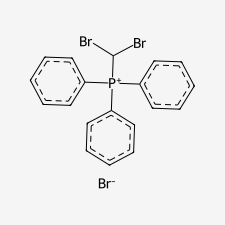 BrC(Br)[P+](c1ccccc1)(c1ccccc1)c1ccccc1.[Br-]